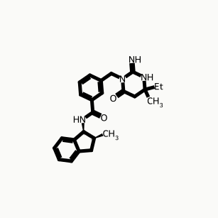 CCC1(C)CC(=O)N(Cc2cccc(C(=O)N[C@@H]3c4ccccc4C[C@@H]3C)c2)C(=N)N1